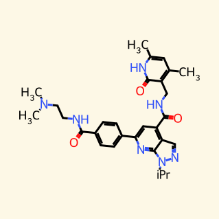 Cc1cc(C)c(CNC(=O)c2cc(-c3ccc(C(=O)NCCN(C)C)cc3)nc3c2cnn3C(C)C)c(=O)[nH]1